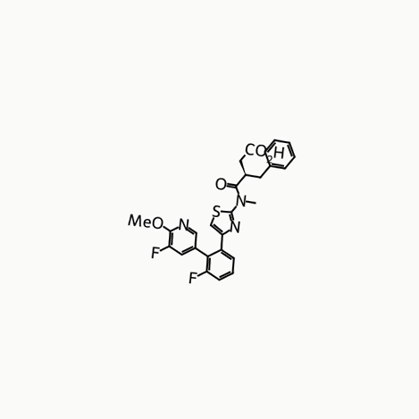 COc1ncc(-c2c(F)cccc2-c2csc(N(C)C(=O)[C@@H](CC(=O)O)Cc3ccccc3)n2)cc1F